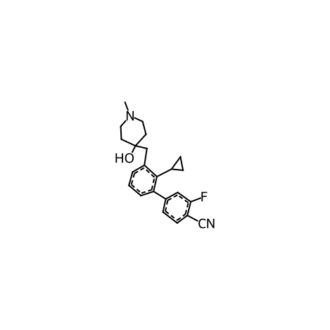 CN1CCC(O)(Cc2cccc(-c3ccc(C#N)c(F)c3)c2C2CC2)CC1